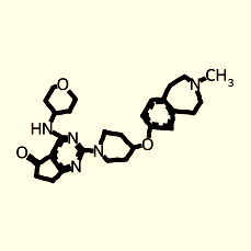 CN1CCc2ccc(OC3CCN(c4nc5c(c(NC6CCOCC6)n4)C(=O)CC5)CC3)cc2CC1